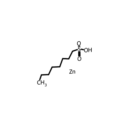 CCCCCCCCS(=O)(=O)O.[Zn]